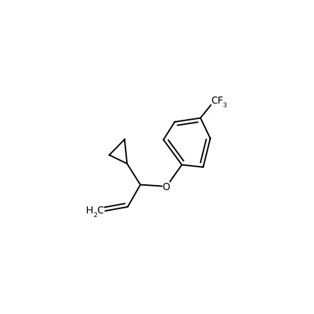 C=CC(Oc1ccc(C(F)(F)F)cc1)C1CC1